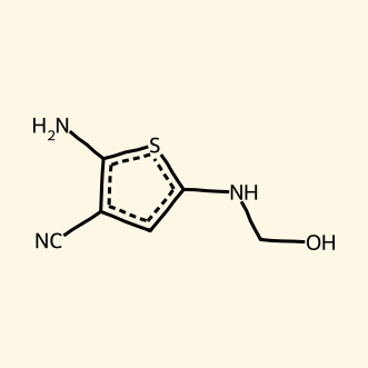 N#Cc1cc(NCO)sc1N